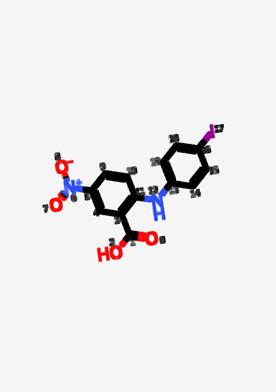 O=C(O)c1cc([N+](=O)[O-])ccc1Nc1ccc(I)cc1